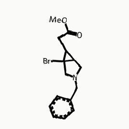 COC(=O)CC1C2CN(Cc3ccccc3)CC12Br